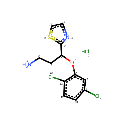 Cl.NCCC(Oc1cc(Cl)ccc1Cl)c1nccs1